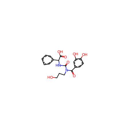 O=C(O)C(NC(=O)N(CCCO)C(=O)c1ccc(O)c(O)c1)c1ccccc1